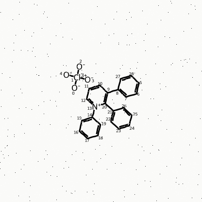 [O-][Cl+3]([O-])([O-])[O-].c1ccc(-c2ccc[n+](-c3ccccc3)c2-c2ccccc2)cc1